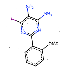 COc1ccccc1-c1nc(N)c(N)c(I)n1